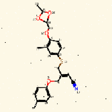 Cc1ccc(OC/C(=C\C#N)CSc2ccc(OCC3OC(C)O3)c(C)c2)cc1